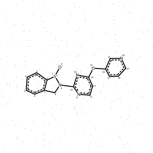 [O-][S+]1c2ccccc2CN1c1nccc(Oc2cccnc2)n1